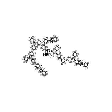 N=C1C=CC(N(c2ccccc2)c2ccc(-c3cccc(-c4ccc(N(c5ccccc5)c5ccc6nn(-c7ccccc7)nc6c5)cc4)c3)cc2)=C/C1=N/Nc1cccc(-c2cc(-c3nc4ccccc4s3)ccc2-c2ccc(N(c3ccccc3)c3ccc(-c4ccc(N(c5ccccc5)c5ccc(-c6ccc(-c7nc8ccccc8s7)cc6)cc5)cc4)cc3)cc2)c1